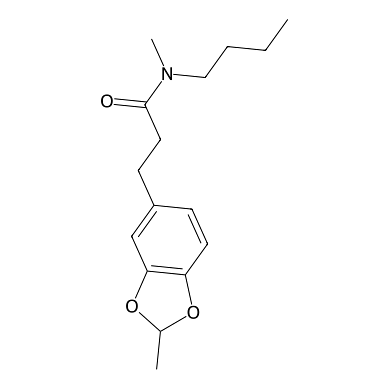 CCCCN(C)C(=O)CCc1ccc2c(c1)OC(C)O2